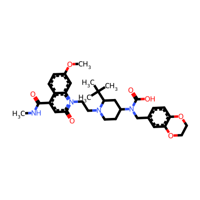 CNC(=O)c1cc(=O)n(CCN2CCC(N(Cc3ccc4c(c3)OCCO4)C(=O)O)CC2C(C)(C)C)c2cc(OC)ccc12